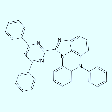 c1ccc(-c2nc(-c3ccccc3)nc(-c3nc4cccc5c4n3-c3ccccc3N5c3ccccc3)n2)cc1